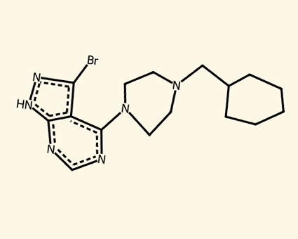 Brc1n[nH]c2ncnc(N3CCN(CC4CCCCC4)CC3)c12